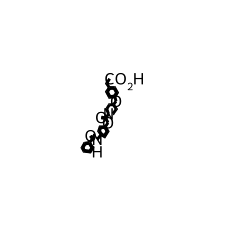 O=C(O)Cc1ccc(OC2CCN(C(=O)Oc3ccc(NC(=O)c4ccccc4)cc3)CC2)cc1